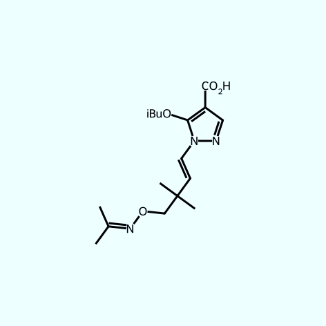 CC(C)=NOCC(C)(C)/C=C/n1ncc(C(=O)O)c1OCC(C)C